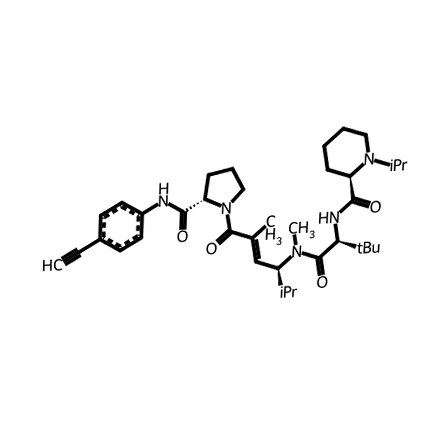 C#Cc1ccc(NC(=O)[C@@H]2CCCN2C(=O)/C(C)=C/[C@H](C(C)C)N(C)C(=O)[C@@H](NC(=O)[C@H]2CCCCN2C(C)C)C(C)(C)C)cc1